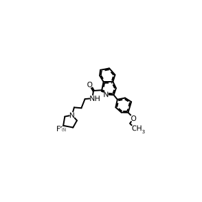 CCOc1ccc(-c2cc3ccccc3c(C(=O)NCCCN3CC[C@H](F)C3)n2)cc1